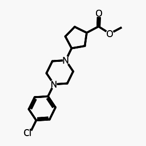 COC(=O)C1CCC(N2CCN(c3ccc(Cl)cc3)CC2)C1